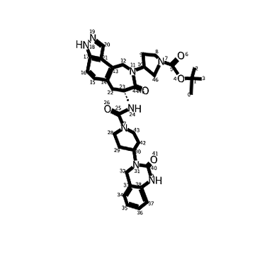 CC(C)(C)OC(=O)N1CCC(N2Cc3c(ccc4[nH]ncc34)C[C@@H](NC(=O)N3CCC(N4Cc5ccccc5NC4=O)CC3)C2=O)C1